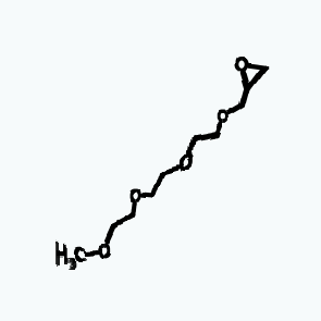 COCCOCCOCCOCC1CO1